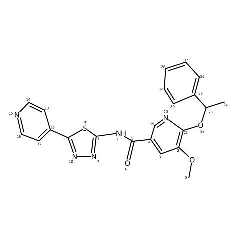 COc1cc(C(=O)Nc2nnc(-c3ccncc3)s2)cnc1OC(C)c1ccccc1